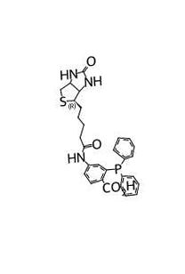 O=C(CCCC[C@H]1SCC2NC(=O)NC21)Nc1ccc(C(=O)O)c(P(c2ccccc2)c2ccccc2)c1